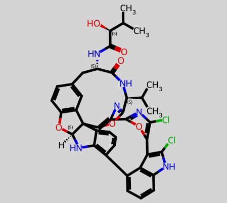 CC(C)[C@H](O)C(=O)N[C@H]1Cc2ccc3c(c2)C24c5cccc(c5N[C@H]2O3)-c2cccc3[nH]c(Cl)c(c23)-c2oc(nc2Cl)-c2nc(oc24)[C@H](C(C)C)NC1=O